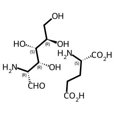 N[C@@H](C=O)[C@@H](O)[C@H](O)[C@H](O)CO.N[C@@H](CCC(=O)O)C(=O)O